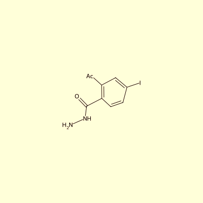 CC(=O)c1cc(I)ccc1C(=O)NN